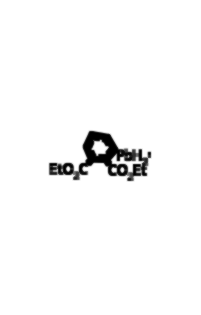 CCOC(=O)c1ccccc1C(=O)OCC.[PbH2]